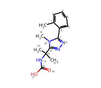 Cc1ccccc1-c1nnc(C(C)(C)NC(=O)O)n1C